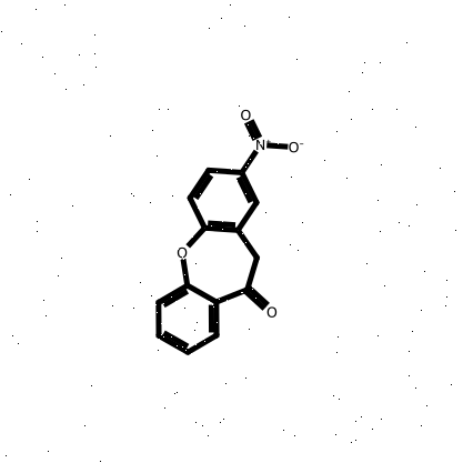 O=C1Cc2cc([N+](=O)[O-])ccc2Oc2ccccc21